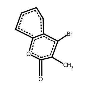 Cc1c(Br)c2ccccc2oc1=O